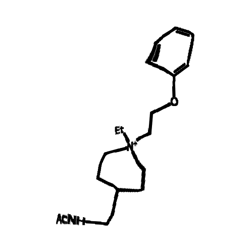 CC[N+]1(CCOc2ccccc2)CCC(CNC(C)=O)CC1